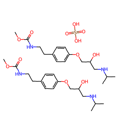 COC(=O)NCCc1ccc(OCC(O)CNC(C)C)cc1.COC(=O)NCCc1ccc(OCC(O)CNC(C)C)cc1.O=S(=O)(O)O